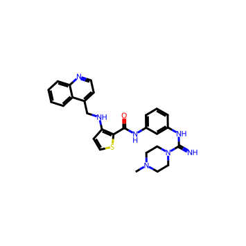 CN1CCN(C(=N)Nc2cccc(NC(=O)c3sccc3NCc3ccnc4ccccc34)c2)CC1